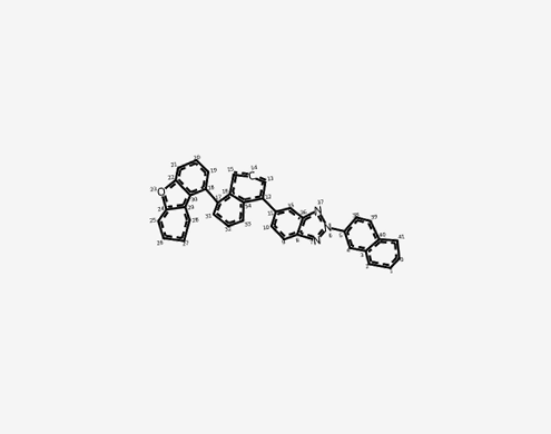 c1ccc2cc(-n3nc4ccc(-c5cccc6c(-c7cccc8oc9ccccc9c78)cccc56)cc4n3)ccc2c1